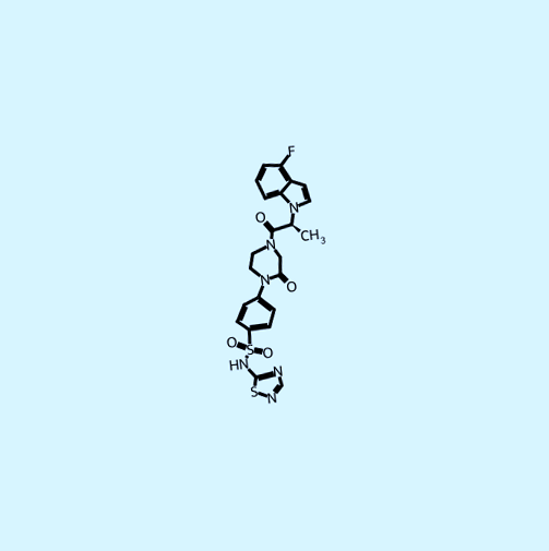 C[C@@H](C(=O)N1CCN(c2ccc(S(=O)(=O)Nc3ncns3)cc2)C(=O)C1)n1ccc2c(F)cccc21